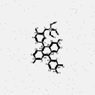 CC[N+](CC)(CC)Cc1cc(-c2c3ccc(C)cc3c(-c3ccc(C)c(C)c3)c3ccc(C)cc23)ccc1C